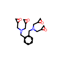 c1ccc(CN(CC2CO2)CC2CO2)c(CN(CC2CO2)CC2CO2)c1